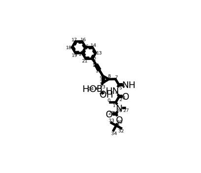 CC(C(=O)NC(=N)CC1C(C#Cc2ccc3ccccc3c2)=C1B(O)O)N(C)C(=O)OC(C)(C)C